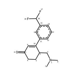 CN(C)CC1CCC(=O)C=C1c1cccc(C(F)F)c1